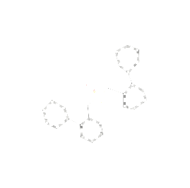 O=S(=O)(Cc1ccccc1-c1ccccc1)Cc1ccccc1-c1ccccc1